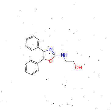 OCCNc1nc(-c2ccccc2)c(-c2ccccc2)o1